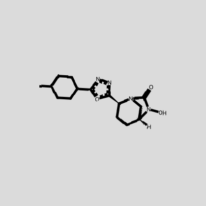 CC1CCC(c2nnc([C@@H]3CC[C@@H]4CN3C(=O)N4O)o2)CC1